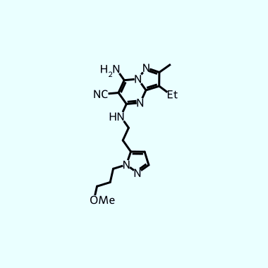 CCc1c(C)nn2c(N)c(C#N)c(NCCc3ccnn3CCCOC)nc12